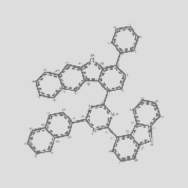 c1ccc(-c2ccc(-c3nc(-c4ccc5ccccc5c4)nc(-c4cccc5oc6ccccc6c45)n3)c3c2oc2cc4ccccc4cc23)cc1